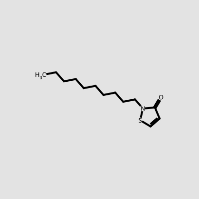 CCCCCCCCCCn1sccc1=O